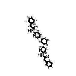 O=C(Cc1ccccc1)Nc1ccc([C@H]2CCC[C@H](c3ccc(NC(=O)Cc4ccccc4)nn3)C2)nn1